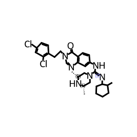 CC1CCCCC1/N=C(/Nc1ccc2c(=O)n(CCc3ccc(Cl)cc3Cl)cnc2c1)N1C[C@@H](C)N[C@@H](C)C1